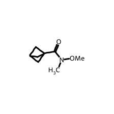 CON(C)C(=O)C12CC(C1)C2